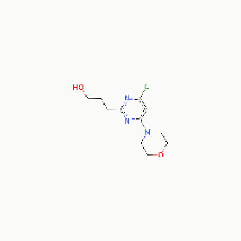 OCCCc1nc(Cl)cc(N2CCOCC2)n1